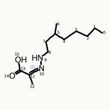 CCCCCC(C)CCN/N=C(/C)C(=O)O